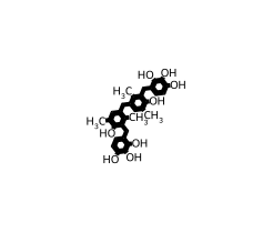 Cc1cc(Cc2cc(C)c(O)c(Cc3ccc(O)c(O)c3O)c2C)c(C)c(Cc2ccc(O)c(O)c2O)c1O